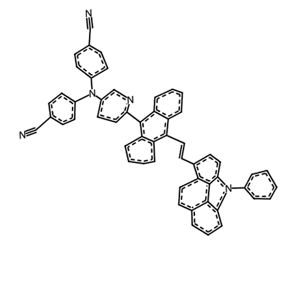 N#Cc1ccc(N(c2ccc(C#N)cc2)c2ccc(-c3c4ccccc4c(/C=C/c4ccc5c6c4ccc4cccc(c46)n5-c4ccccc4)c4ccccc34)nc2)cc1